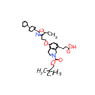 Cc1oc(-c2ccc(-c3ccccc3)cc2)nc1CCOc1ccc(CCC(=O)O)c2c1CCN(C(=O)OCC(C)C)C2